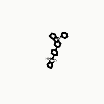 c1ccc(-n2c3ccccc3c3cc(-c4ccc(C5Nc6ccccc6O5)cc4)ccc32)cc1